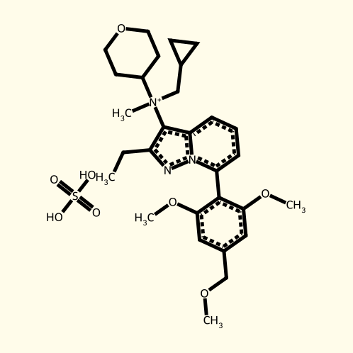 CCc1nn2c(-c3c(OC)cc(COC)cc3OC)cccc2c1[N+](C)(CC1CC1)C1CCOCC1.O=S(=O)(O)O